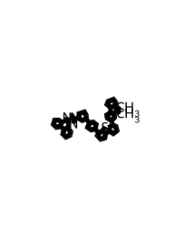 CC1(C)c2ccccc2-c2ccc(-c3cccc4c3sc3c(-c5ccc(-c6cccc(-c7cnc8c9ccccc9c9ccccc9c8n7)c6)cc5)cccc34)cc21